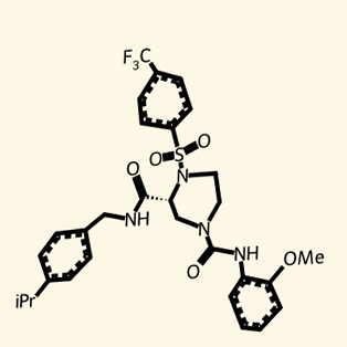 COc1ccccc1NC(=O)N1CCN(S(=O)(=O)c2ccc(C(F)(F)F)cc2)[C@@H](C(=O)NCc2ccc(C(C)C)cc2)C1